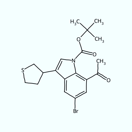 CC(=O)c1cc(Br)cc2c(C3CCSC3)cn(C(=O)OC(C)(C)C)c12